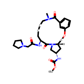 CN1CCCC[C@H](NC(=O)CN2CCCC2)C(=O)N2C[C@@H](NC(=O)OC(C)(C)C)C[C@H]2COc2cccc(c2)C1=O